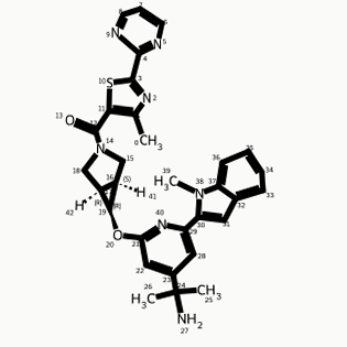 Cc1nc(-c2ncccn2)sc1C(=O)N1C[C@@H]2[C@H](C1)[C@@H]2Oc1cc(C(C)(C)N)cc(-c2cc3ccccc3n2C)n1